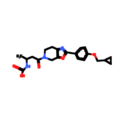 CC(CC(=O)N1CCc2nc(-c3ccc(OCC4CC4)cc3)oc2C1)NC(=O)O